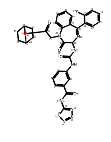 O=C(Nc1cccc(C(=O)Nc2nnn[nH]2)c1)NC1N=C(c2ccccc2F)c2ccccc2N(CC(=O)N2CC3CCC(CC3)C2)C1=O